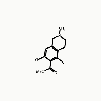 COC(=O)c1c(Cl)cc2c(c1Cl)CCN(C)C2